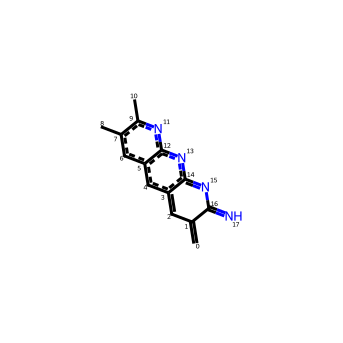 C=C1C=c2cc3cc(C)c(C)nc3nc2=NC1=N